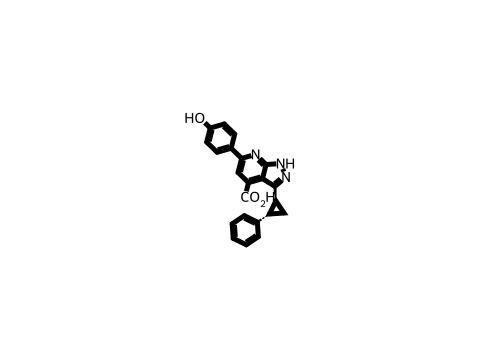 O=C(O)c1cc(-c2ccc(O)cc2)nc2[nH]nc([C@H]3C[C@@H]3c3ccccc3)c12